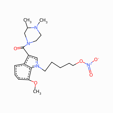 COc1cccc2c(C(=O)N3CCN(C)C(C)C3)cn(CCCCCO[N+](=O)[O-])c12